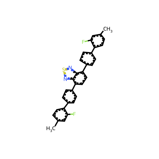 Cc1ccc(-c2ccc(-c3ccc(-c4ccc(-c5ccc(C)cc5F)cc4)c4nsnc34)cc2)c(F)c1